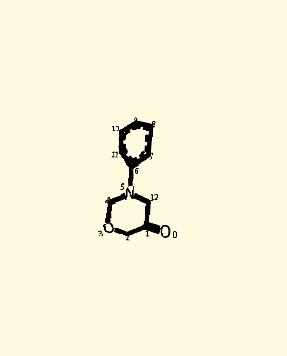 O=C1COCN(c2ccccc2)C1